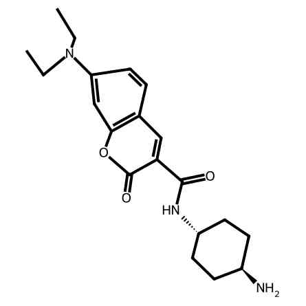 CCN(CC)c1ccc2cc(C(=O)N[C@H]3CC[C@H](N)CC3)c(=O)oc2c1